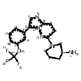 N[C@H]1CCCN(c2ccc3ncc(-c4cccc(OC(F)(F)F)c4)n3n2)C1